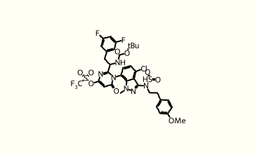 COc1ccc(CCN(c2nn(C)c3c(-n4c(C(Cc5cc(F)cc(F)c5)NC(=O)OC(C)(C)C)nc(OS(=O)(=O)C(F)(F)F)cc4=O)ccc(Cl)c23)[SH](=O)=O)cc1